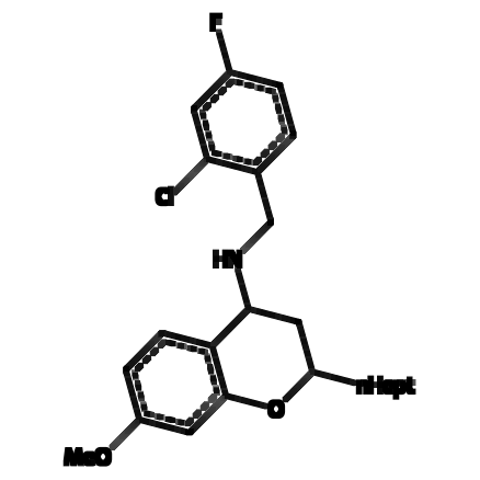 CCCCCCCC1CC(NCc2ccc(F)cc2Cl)c2ccc(OC)cc2O1